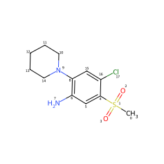 CS(=O)(=O)c1cc(N)c(N2CCCCC2)cc1Cl